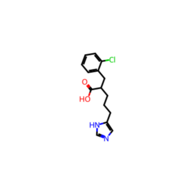 O=C(O)C(CCCc1cnc[nH]1)Cc1ccccc1Cl